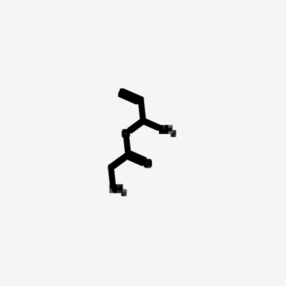 C=CC(N)OC(=O)CN